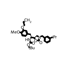 C=CCOc1cc(C[C@H](NC(=O)OC(C)(C)C)[C@H]2CN(Cc3cccc(C(C)C)c3)C(=O)O2)ccc1OC